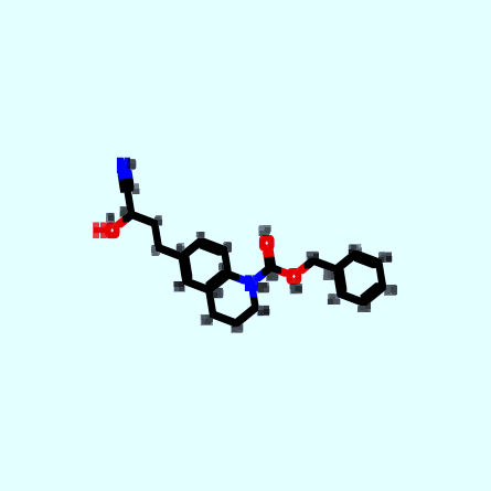 N#CC(O)CCc1ccc2c(c1)CCCN2C(=O)OCc1ccccc1